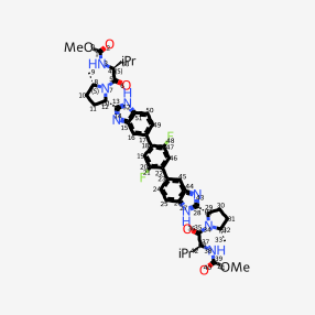 COC(=O)N[C@H](C(=O)N1[C@@H](C)CC[C@H]1c1nc2cc(-c3cc(F)c(-c4ccc5[nH]c([C@@H]6CC[C@H](C)N6C(=O)[C@@H](NC(=O)OC)C(C)C)nc5c4)cc3F)ccc2[nH]1)C(C)C